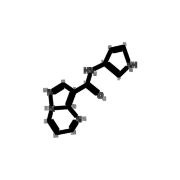 O=C(Nc1cc[nH]c1)c1cnn2cccnc12